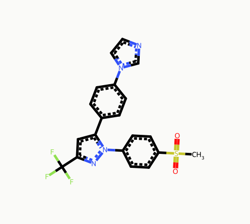 CS(=O)(=O)c1ccc(-n2nc(C(F)(F)F)cc2-c2ccc(-n3ccnc3)cc2)cc1